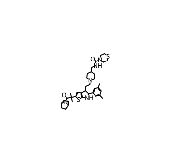 Cc1cc(C)cc(C2Nc3sc(C(C)(C)C(=O)N4C5CCC4CC5)cc3C2CCN2CCC(CNC(=O)N3CCSCC3)CC2)c1